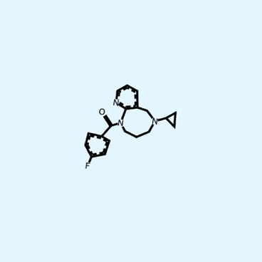 O=C(c1ccc(F)cc1)N1CCCN(C2CC2)Cc2cccnc21